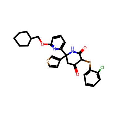 O=C1CC(c2ccsc2)(c2cccc(OCC3CCCCC3)n2)NC(=O)C1Sc1ccccc1Cl